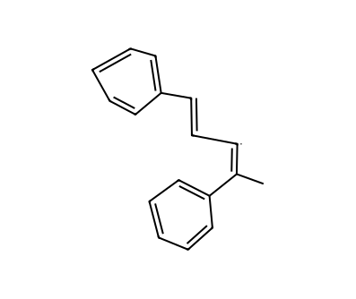 CC(=[C]C=Cc1ccccc1)c1ccccc1